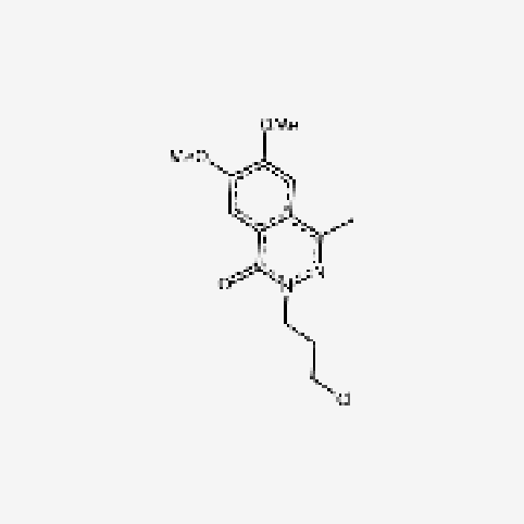 COc1cc2c(C)nn(CCCCl)c(=O)c2cc1OC